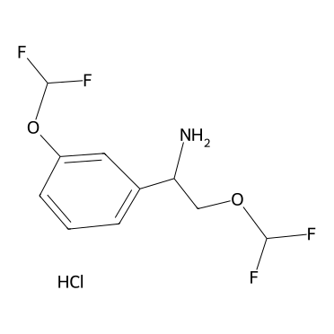 Cl.NC(COC(F)F)c1cccc(OC(F)F)c1